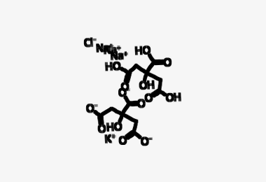 O=C(O)CC(O)(CC(=O)O)C(=O)O.O=C([O-])CC(O)(CC(=O)[O-])C(=O)[O-].[Cl-].[K+].[Na+].[Na+].[Na+]